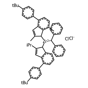 CC1=Cc2c(-c3ccc(C(C)(C)C)cc3)ccc(C)c2[CH]1[Zr+2](=[C](c1ccccc1)c1ccccc1)[CH]1C(C(C)C)=Cc2c(-c3ccc(C(C)(C)C)cc3)cccc21.[Cl-].[Cl-]